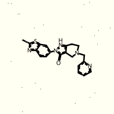 Cc1nc2ccc(-n3[nH]c4c(c3=O)CN(Cc3ccccn3)CC4)cc2s1